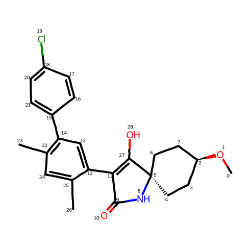 CO[C@H]1CC[C@]2(CC1)NC(=O)C(c1cc(-c3ccc(Cl)cc3)c(C)cc1C)=C2O